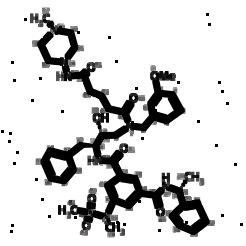 COc1cccc(CN(C[C@@H](O)[C@H](Cc2ccccc2)NC(=O)c2cc(C(=O)N[C@H](C)c3ccccc3)cc(N(C)S(C)(=O)=O)c2)C(=O)CCCC(=O)NN2CCN(C)CC2)c1